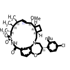 CCCCc1cc(Cl)ccc1[C@@H]1COc2ccc3cc2N(C1)C[C@@H]1CC[C@H]1[C@@H](OC)/C=C/[C@H](C)[C@H](C)[C@@H](C)S(=O)(=O)NC3=O